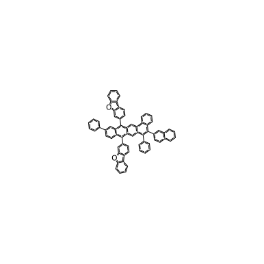 c1ccc(-c2ccc3c(-c4ccc5c(c4)oc4ccccc45)c4cc5c(-c6ccccc6)c(-c6ccc7ccccc7c6)c6ccccc6c5cc4c(-c4ccc5c(c4)oc4ccccc45)c3c2)cc1